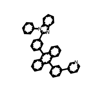 c1ccc(-n2c(-c3cccc(-c4c5ccccc5c(-c5cccc(-c6cccnc6)c5)c5ccccc45)c3)nc3ccccc32)cc1